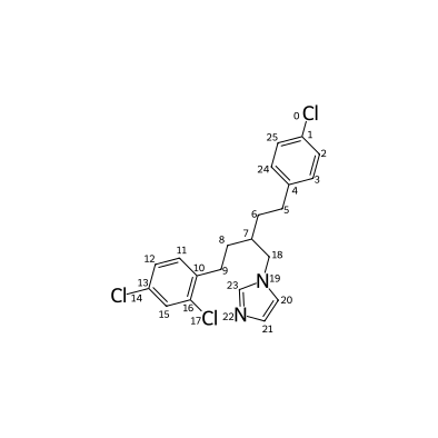 Clc1ccc(CCC(CCc2ccc(Cl)cc2Cl)Cn2ccnc2)cc1